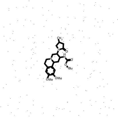 COc1cc2c(cc1OC)C1CC(NC(=O)OC(C)(C)C)C(N3CC(C)CC3=O)CN1CC2